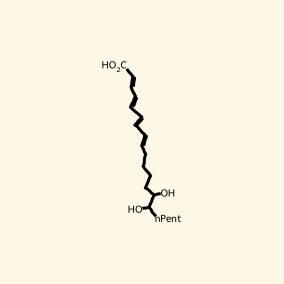 CCCCCC(O)C(O)CCCCC=CC=CC=CC=CC(=O)O